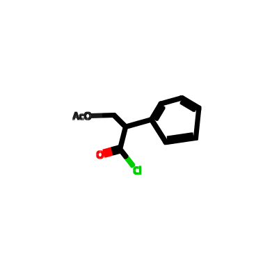 CC(=O)OCC(C(=O)Cl)c1ccccc1